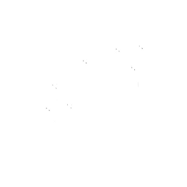 CON(c1nc2ccccc2n1OCc1ccc(F)cc1)C1CCN(CCNc2ncccn2)CC1